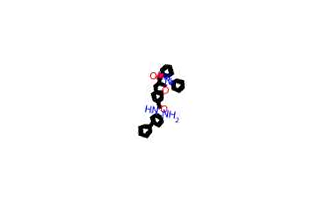 NC(=O)C(Cc1ccc(C(=O)Nc2cc(-c3ccccc3)ccc2N)cc1)C(=O)N(c1ccccc1)c1ccccc1